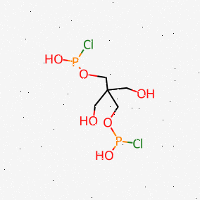 OCC(CO)(COP(O)Cl)COP(O)Cl